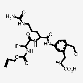 C=CCOC(=O)NC(C(=O)NC(CCCNC(N)=O)C(=O)Nc1ccc(CCl)c(CN(C)C(=O)O)c1)C(C)C